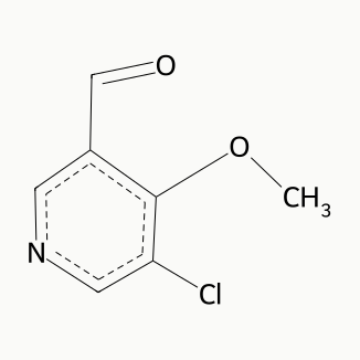 COc1c(Cl)cncc1C=O